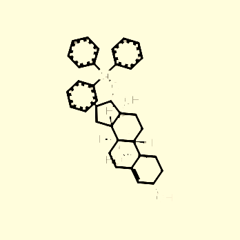 C[C@]12CC[C@H]3[C@@H](CCC4=C[C@@H](O)CC[C@@]43CO)[C@@H]1CC[C@@H]2O[Si](c1ccccc1)(c1ccccc1)c1ccccc1